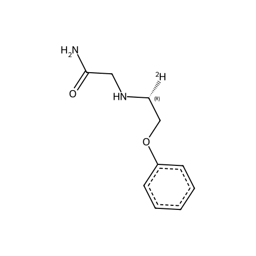 [2H][C@H](COc1ccccc1)NCC(N)=O